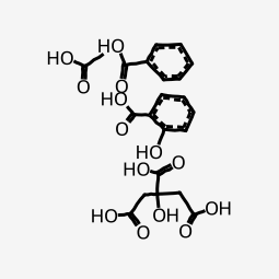 CC(=O)O.O=C(O)CC(O)(CC(=O)O)C(=O)O.O=C(O)c1ccccc1.O=C(O)c1ccccc1O